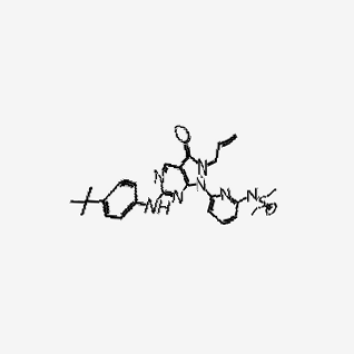 C=CCn1c(=O)c2cnc(Nc3ccc(C(C)(C)C)cc3)nc2n1-c1cccc(N=S(C)(C)=O)n1